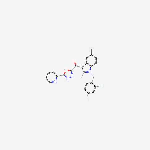 Cc1ccc2c(c1)c(C(=O)c1nnc(-c3ccccn3)o1)c(C)n2Cc1ccc(Cl)cc1Cl